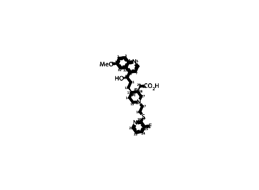 COc1ccc2nccc([C@@H](O)CC[C@@H]3CCN(CCSc4ncccc4F)C[C@@H]3CC(=O)O)c2c1